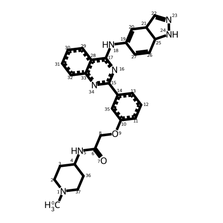 CN1CCC(NC(=O)COc2cccc(-c3nc(NC4=CC5C=NNC5C=C4)c4ccccc4n3)c2)CC1